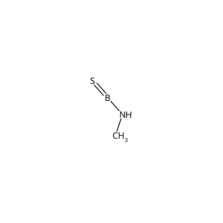 CNB=S